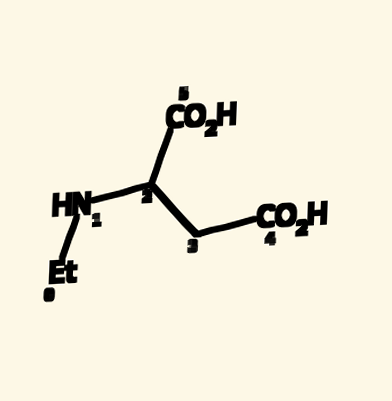 CCNC(CC(=O)O)C(=O)O